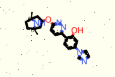 C[C@]12CC[C@](C)(CC(Oc3ccc(-c4ccc(-n5ccnc5)cc4O)nn3)C1)N2